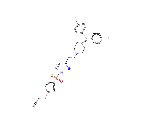 C#CCOc1ccc(S(=O)(=O)N/N=C\C(=N)CCN2CCC(=C(c3ccc(F)cc3)c3ccc(F)cc3)CC2)cc1